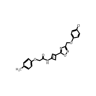 Cc1ccc(OCC(=O)NC23CC(c4nc(COc5ccc(Cl)cc5)no4)(C2)C3)cc1